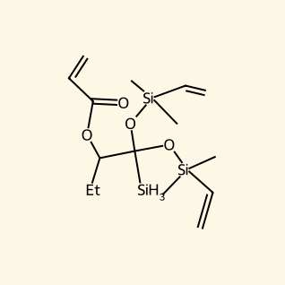 C=CC(=O)OC(CC)C([SiH3])(O[Si](C)(C)C=C)O[Si](C)(C)C=C